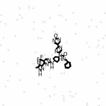 COc1ncc(-c2cnc(N(C(=O)NCc3ccccc3)[C@H]3CC[C@H](Nc4ncc(C(F)(F)F)c(-c5n[nH]c(C)c5Cl)n4)CC3)cn2)cn1